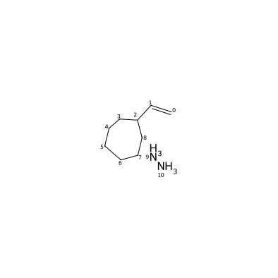 C=CC1CCCCCC1.N.N